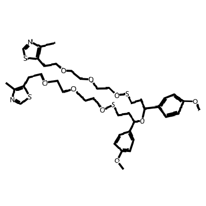 COc1ccc(C(CCSOCCOCCOCCc2scnc2C)OC(CCSOCCOCCOCCc2scnc2C)c2ccc(OC)cc2)cc1